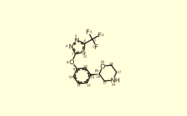 FC(F)(F)c1nnc(Oc2cccc([C@@H]3CNCCO3)c2)s1